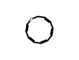 C1=CC=CC=COCC=CC=C1